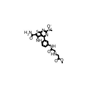 COC(=O)CNCC(=O)Nc1cccc(-c2nc([S+](C)[O-])nc3sc(C(N)=O)c(N)c23)c1